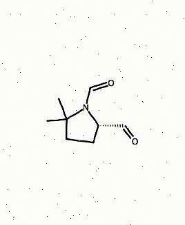 CC1(C)CC[C@@H](C=O)N1C=O